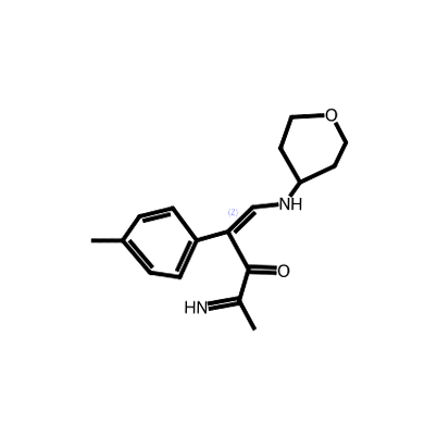 CC(=N)C(=O)/C(=C\NC1CCOCC1)c1ccc(C)cc1